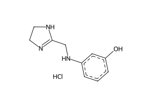 Cl.Oc1cccc(NCC2=NCCN2)c1